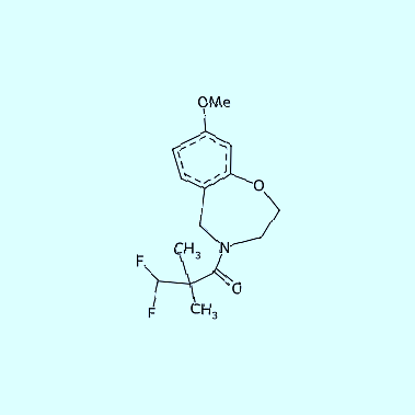 COc1ccc2c(c1)OCCN(C(=O)C(C)(C)C(F)F)C2